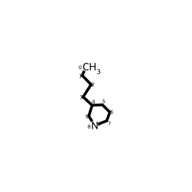 CCCCC1CCC[N]C1